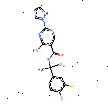 CC(C)(NC(=O)c1cnc(-n2cccn2)nc1O)c1ccc(F)c(F)c1